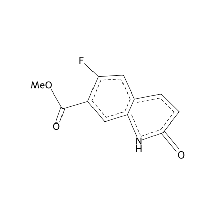 COC(=O)c1cc2[nH]c(=O)ccc2cc1F